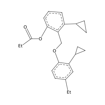 CCC(=O)Oc1cccc(C2CC2)c1COc1ccc(CC)cc1C1CC1